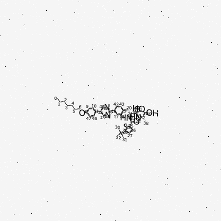 CCCCCCCOc1ccc(-c2cnc(-c3ccc(C[C@@H](NC(=O)c4ccc(C(C)(C)C)s4)C(=O)N[C@@H](C)C(O)O)cc3)nc2)cc1